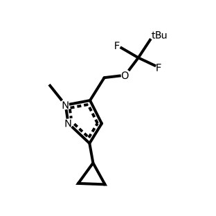 Cn1nc(C2CC2)cc1COC(F)(F)C(C)(C)C